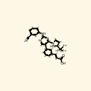 N#Cc1cccc(Nc2ncc(-c3cccc(/C=C/C(=O)O)c3)c(N3C=CC(C(F)(F)F)N3)n2)c1